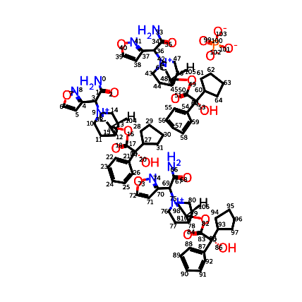 NC(=O)C(c1ccon1)[N+]12CCC(CC1)[C@@H](OC(=O)[C@](O)(c1ccccc1)C1CCCC1)C2.NC(=O)C(c1ccon1)[N+]12CCC(CC1)[C@@H](OC(=O)[C@](O)(c1ccccc1)C1CCCC1)C2.NC(=O)C(c1ccon1)[N+]12CCC(CC1)[C@@H](OC(=O)[C@](O)(c1ccccc1)C1CCCC1)C2.O=P([O-])([O-])[O-]